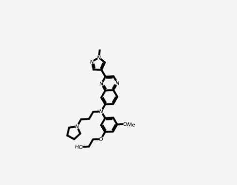 COc1cc(OCCO)cc(N(CCCN2CCCC2)c2ccc3ncc(-c4cnn(C)c4)nc3c2)c1